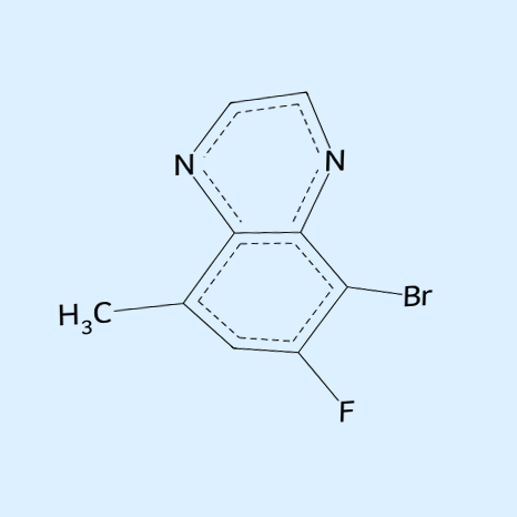 Cc1cc(F)c(Br)c2nccnc12